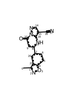 Cc1noc2ccc(-c3cc(=O)n4ncc(C#N)c4[nH]3)cc12